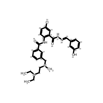 CCN(CC)CCN(C)Cc1cccc(C(=O)Nc2ccc(Cl)cc2C(=O)NN=Cc2cccc(O)c2)c1